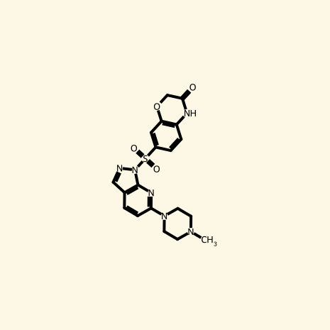 CN1CCN(c2ccc3cnn(S(=O)(=O)c4ccc5c(c4)OCC(=O)N5)c3n2)CC1